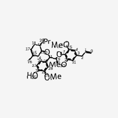 C=CCc1cc(OC)c(OC(C)C(OC2CC(C)CCC2C(C)C)c2ccc(O)c(OC)c2)c(OC)c1